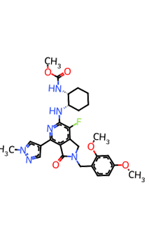 COC(=O)N[C@@H]1CCCC[C@@H]1Nc1nc(-c2cnn(C)c2)c2c(c1F)CN(Cc1ccc(OC)cc1OC)C2=O